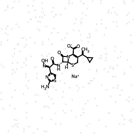 C=C(C1=C(C(=O)[O-])N2C(=O)[C@@H](NC(=O)/C(=N\O)c3csc(N)n3)[C@H]2SC1)C1CC1.[Na+]